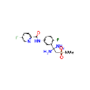 CNS(=O)(=O)CC(N)(N)c1cc(NC(=O)c2ccc(F)cn2)ccc1F